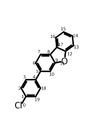 Clc1ccc(-c2ccc3c(c2)oc2ccccc23)cc1